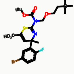 CC(C)(C)OC(=O)N(COCC[Si](C)(C)C)C1=NC(C)(c2cc(Br)ccc2F)C=C(C(=O)O)S1